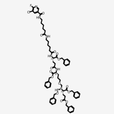 O=C(CCCCCNC(=O)c1cnc(F)c(Cl)c1)NCCCCCC(=O)N[C@@H](CCC(=O)N[C@@H](CCCOCN(POCc1ccccc1)[C@@H](CCC(=O)OCc1ccccc1)C(=O)OCc1ccccc1)C(=O)OCc1ccccc1)C(=O)OCc1ccccc1